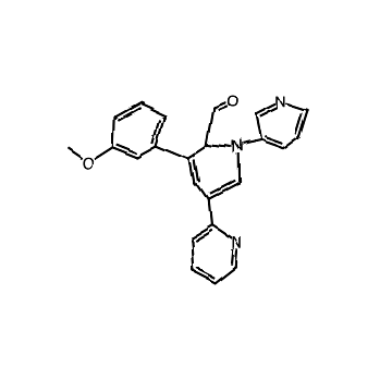 COc1cccc(C2=CC(c3ccccn3)=CN(c3cccnc3)C2C=O)c1